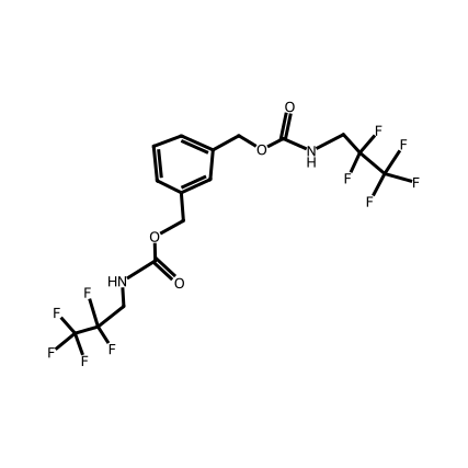 O=C(NCC(F)(F)C(F)(F)F)OCc1cccc(COC(=O)NCC(F)(F)C(F)(F)F)c1